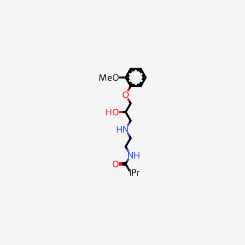 COc1ccccc1OCC(O)CNCCNC(=O)C(C)C